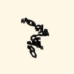 Cc1c(NC(=O)c2cc3c(s2)CCCC3)cccc1-c1c[nH]c(=O)c(Nc2ccc(N3CCN(C)CC3)cn2)c1